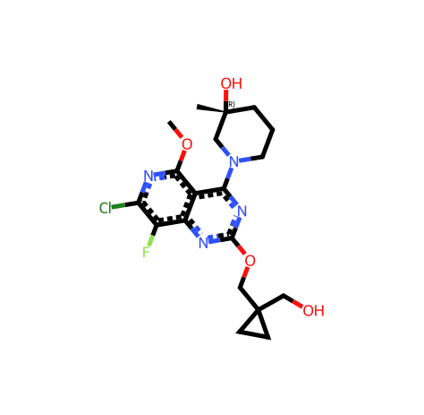 COc1nc(Cl)c(F)c2nc(OCC3(CO)CC3)nc(N3CCC[C@@](C)(O)C3)c12